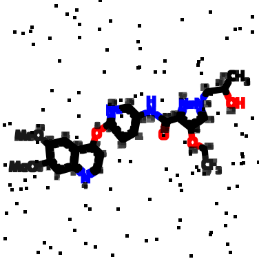 COc1cc2nccc(Oc3ccc(NC(=O)c4nn(CC(C)O)cc4OCC(F)(F)F)cn3)c2cc1OC